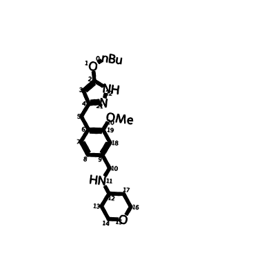 CCCCOc1cc(Cc2ccc(CNC3CCOCC3)cc2OC)n[nH]1